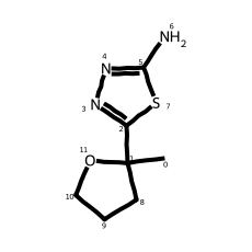 CC1(c2nnc(N)s2)CCCO1